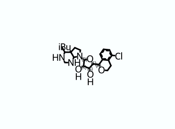 CCC(C)C12CCN([C@@H]3O[C@H]([C@@H]4OCCc5c(Cl)cccc54)[C@@H](O)[C@H]3O)C1NCNC2C